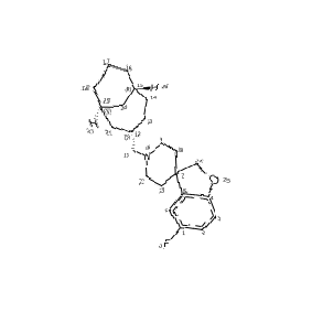 Fc1ccc2c(c1)C1(CCN(C[C@H]3CC[C@H]4CCC[C@@H](C4)C3)CC1)CO2